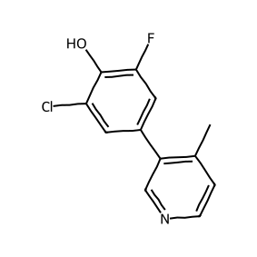 Cc1ccncc1-c1cc(F)c(O)c(Cl)c1